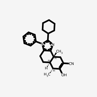 C[C@H]1C(O)=C(C#N)C[C@@]2(C)c3nc(C4CCCCC4)n(-c4ccccc4)c3CC[C@H]12